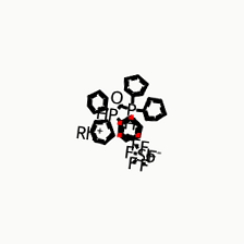 O=C([PH](c1ccccc1)(c1ccccc1)c1ccccc1)[PH](c1ccccc1)(c1ccccc1)c1ccccc1.[F][Sb-]([F])([F])([F])([F])[F].[Rh+]